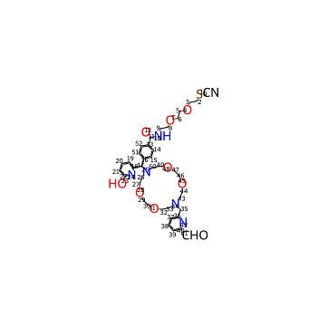 N#CSCCOCCOCCNC(=O)c1ccc(C(c2cccc(O)n2)N2CCOCCOCCN(Cc3cccc(C=O)n3)CCOCCOCC2)cc1